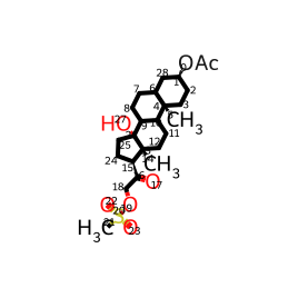 CC(=O)O[C@H]1CC[C@@]2(C)C(CCC3C2CC[C@]2(C)[C@@H](C(=O)COS(C)(=O)=O)CC[C@]32O)C1